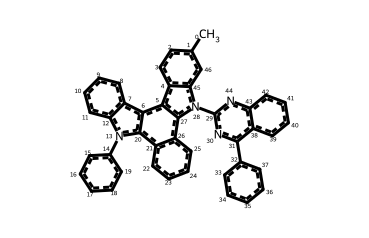 Cc1ccc2c3c4c5ccccc5n(-c5ccccc5)c4c4ccccc4c3n(-c3nc(-c4ccccc4)c4ccccc4n3)c2c1